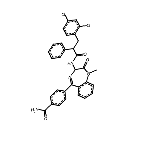 CN1C(=O)C(NC(=O)C(Cc2ccc(Cl)cc2Cl)c2ccccc2)N=C(c2ccc(C(N)=O)cc2)c2ccccc21